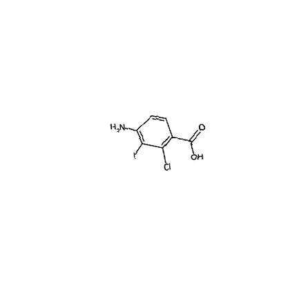 Nc1ccc(C(=O)O)c(Cl)c1I